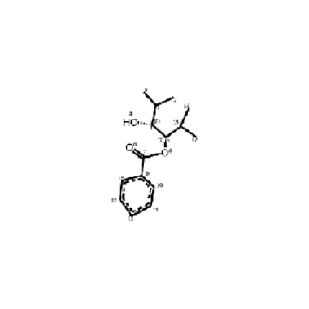 CC(C)[C@@H](O)[C@H](OC(=O)c1ccccc1)C(C)C